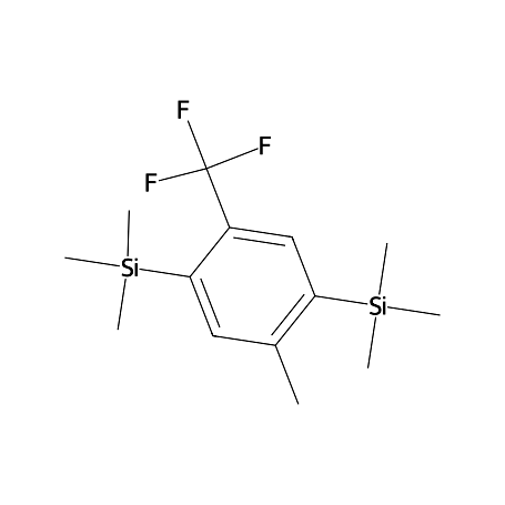 Cc1cc([Si](C)(C)C)c(C(F)(F)F)cc1[Si](C)(C)C